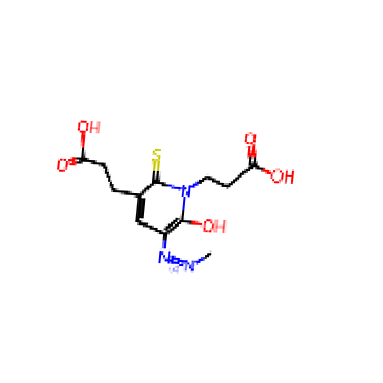 C/N=N\c1cc(CCC(=O)O)c(=S)n(CCC(=O)O)c1O